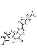 O=C1CN(c2c(O)c(Br)c3ccc(-c4ccn(S(=O)(=O)C5CC5)c4)cc3c2F)S(=O)(=O)N1